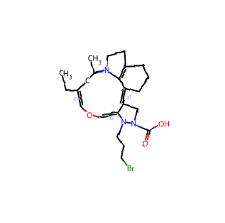 CC/C1=C/O/C=C2\C(=C3\CCCC4=C3N(CC4)C(C)C1)CN(C(=O)O)N2CCCBr